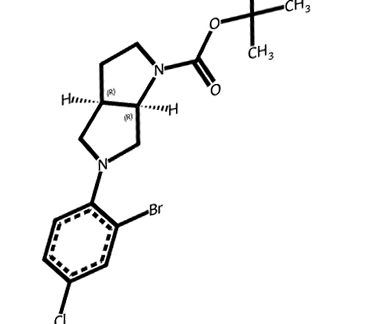 CC(C)(C)OC(=O)N1CC[C@@H]2CN(c3ccc(Cl)cc3Br)C[C@@H]21